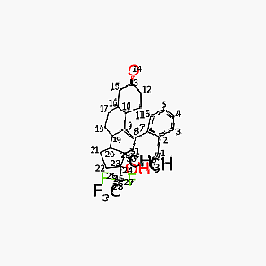 C#Cc1ccccc1C1=C2C3CCC(=O)CC3CCC2C2CCC(O)(C(F)(F)C(F)(F)F)C2(C)C1